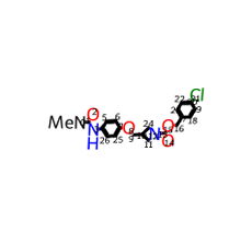 CNC(=O)Nc1ccc(OCC2CN(C(=O)OCc3ccc(Cl)cc3)C2)cc1